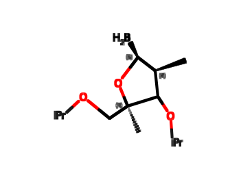 B[C@@H]1O[C@](C)(COC(C)C)C(OC(C)C)[C@@H]1C